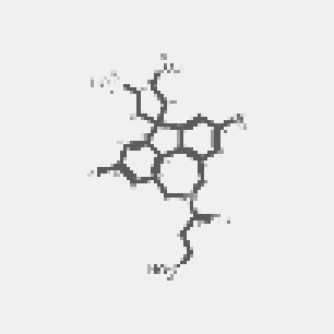 O=C(O)CCC(=O)N1Cc2cc(Br)cc3c2-c2c(cc(I)cc2C3(CCC(=O)O)CCC(=O)O)C1